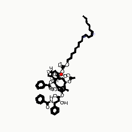 CCCCC/C=C\C/C=C\CCCCCCCCOC(=O)O[C@H]1C[C@H]2OC[C@@]2(OC(C)=O)[C@H]2[C@H](OC(=O)c3ccccc3)[C@]3(O)C[C@H](OC(=O)[C@H](O)[C@@H](NC(=O)c4ccccc4)c4ccccc4)C(C)=C([C@@H](OC(C)=O)C(=O)[C@]12C)C3(C)C